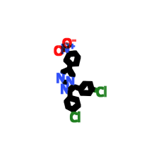 O=[N+]([O-])c1cccc(-c2cnc3nc(-c4ccc(Cl)cc4)c(-c4ccc(Cl)cc4)n3c2)c1